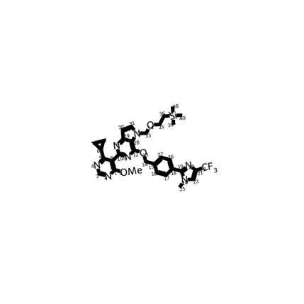 COc1ncnc(C2CC2)c1-c1nc(OCc2ccc(-c3nc(C(F)(F)F)cn3C)cc2)c2c(ccn2COCC[Si](C)(C)C)n1